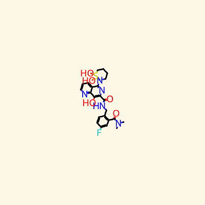 CN(C)C(=O)c1cc(F)ccc1CNC(=O)c1nc(N2CCCCS2(O)O)c2cccnc2c1O